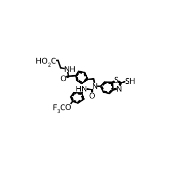 O=C(O)CCNC(=O)c1ccc(CN(C(=O)Nc2ccc(OC(F)(F)F)cc2)c2ccc3nc(S)sc3c2)cc1